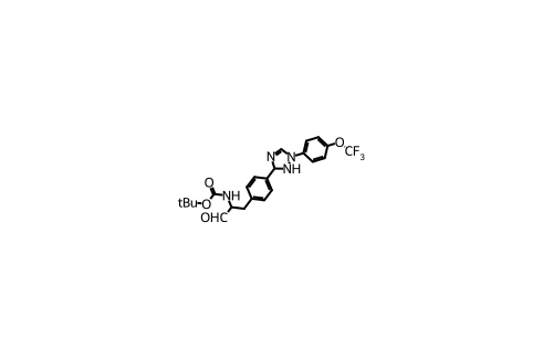 CC(C)(C)OC(=O)NC(C=O)Cc1ccc(C2N=CN(c3ccc(OC(F)(F)F)cc3)N2)cc1